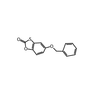 O=c1oc2ccc(OCc3ccccc3)cc2s1